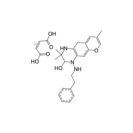 CC1=COC2=CC3=C(CC2=C1)NC(C)(C)C(O)N3NCCc1ccccc1.O=C(O)/C=C\C(=O)O